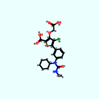 CNC(=O)N(c1cccc(-c2sc(C(=O)O)c(OCC(=O)O)c2Br)c1)C1CCCCC1